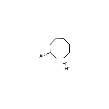 [Al+2][CH]1CCCCCCC1.[H-].[H-]